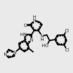 Cc1cc(-n2ccnc2)cc2[nH]c(-c3c(NCC(O)c4cc(Cl)cc(Cl)c4)cc[nH]c3=O)nc12